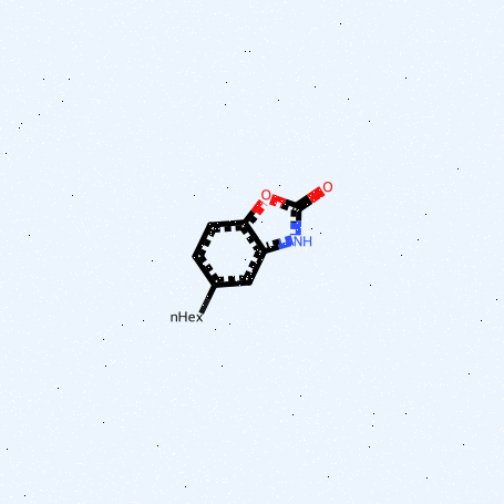 [CH2]CCCCCc1ccc2oc(=O)[nH]c2c1